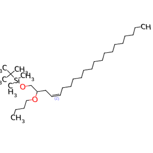 CCCCCCCCCCCCCCCC/C=C\CC(CO[Si](C)(C)C(C)(C)C)OCCCC